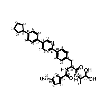 C[C@@H](NC(=O)[C@H](Cc1ccc(-c2ncc(-c3ccc(C4CCCC4)cc3)cn2)cc1)NC(=O)c1ccc(C(C)(C)C)s1)C(O)O